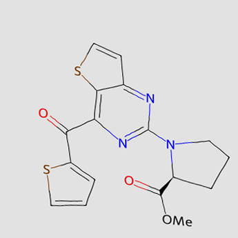 COC(=O)[C@@H]1CCCN1c1nc(C(=O)c2cccs2)c2sccc2n1